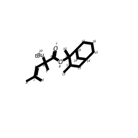 CC(C)=CC(C)(C(=O)OC1(C)C(C)CC2CCCC1C2)C(C)(C)C